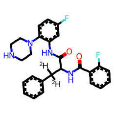 [2H]C([2H])(c1ccccc1)C(NC(=O)c1ccccc1F)C(=O)Nc1cc(F)ccc1N1CCNCC1